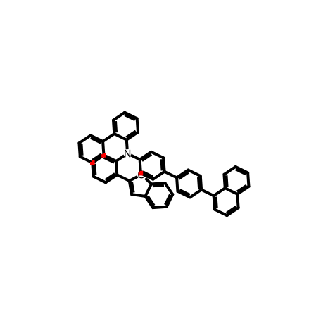 c1ccc(-c2ccccc2N(c2ccc(-c3ccc(-c4cccc5ccccc45)cc3)cc2)c2ccccc2-c2cc3ccccc3o2)cc1